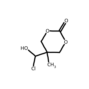 CC1(C(O)Cl)COC(=O)OC1